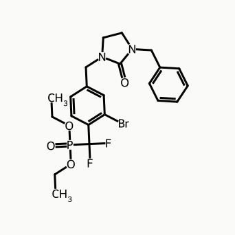 CCOP(=O)(OCC)C(F)(F)c1ccc(CN2CCN(Cc3ccccc3)C2=O)cc1Br